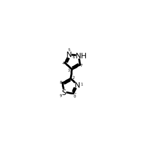 [c]1nc(-c2cn[nH]c2)cs1